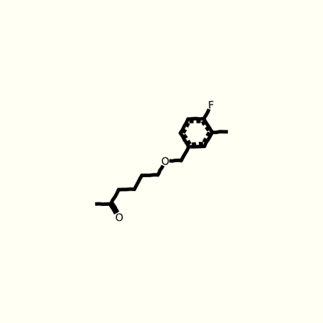 CC(=O)CCCCOCc1ccc(F)c(C)c1